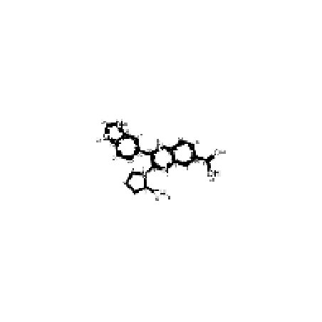 CC1CCCN1c1nc2cc(C(=O)O)ccc2nc1-c1ccc2scnc2c1